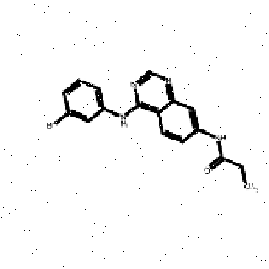 CCC(=O)Nc1ccc2c(Nc3cccc(Br)c3)ncnc2c1